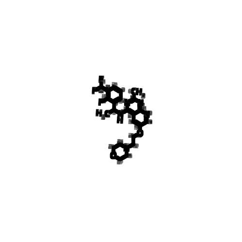 Cc1nc(NC(C)c2cccc(C(F)F)c2F)c2cc(OCCN3CCOCC3)cnc2n1